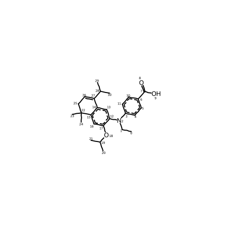 CCN(c1ccc(C(=O)O)cc1)c1cc2c(cc1OC(C)C)C(C)(C)CC=C2C(C)C